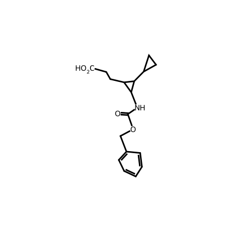 O=C(O)CCC1C(NC(=O)OCc2ccccc2)C1C1CC1